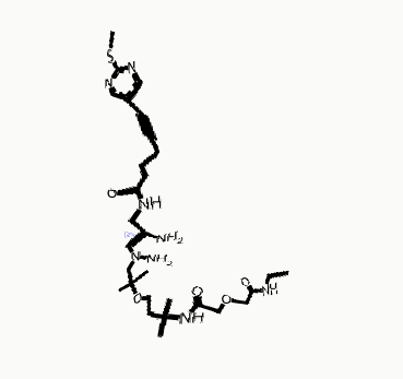 CCNC(=O)COCC(=O)NC(C)(C)CCOC(C)(C)CN(N)/C=C(\N)CNC(=O)CCCC#Cc1cnc(SC)nc1